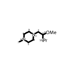 COC(CN1CCN(C)CC1)C(C)C